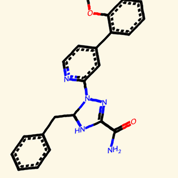 CC(C)Oc1ccccc1-c1ccnc(N2N=C(C(N)=O)NC2Cc2ccccc2)c1